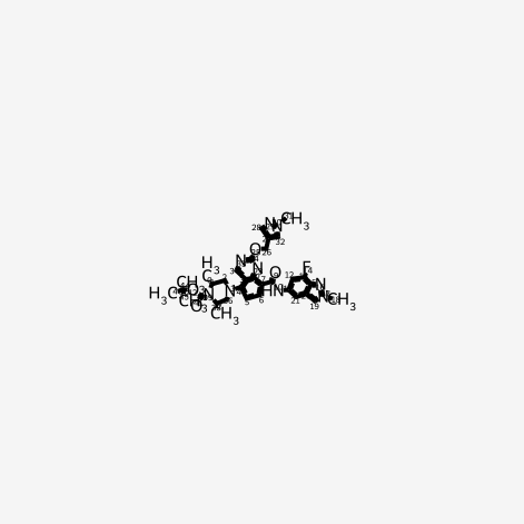 C[C@@H]1CN(c2ccc(C(=O)Nc3cc(F)c4nn(C)cc4c3)c3nc(OCc4cnn(C)c4)ncc23)C[C@H](C)N1C(=O)OC(C)(C)C